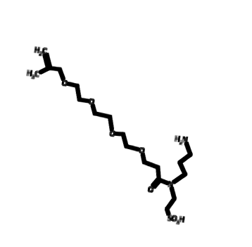 C=C(C)COCCOCCOCCOCCC(=O)N(CCCN)CCS(=O)(=O)O